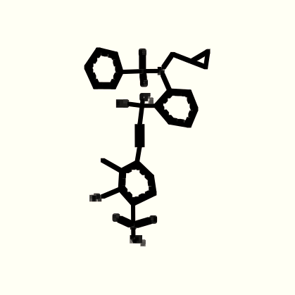 CCCc1c(S(N)(=O)=O)ccc(C#CC(O)(c2ccccc2N(CC2CC2)S(=O)(=O)c2ccccc2)C(F)(F)F)c1C